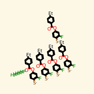 CCc1ccc(C(=O)Oc2ccc([S])c(F)c2)cc1.CCc1ccc(C(=O)Oc2ccc([S])c(F)c2)cc1.CCc1ccc(C(=O)Oc2ccc([S])c(F)c2)cc1.CCc1ccc(C(=O)Oc2ccc([S])c(F)c2)cc1.CCc1ccc(C(=O)Oc2ccc([S])c(F)c2)cc1.F.F.F.F.F